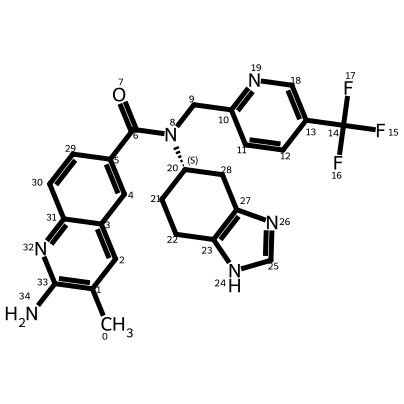 Cc1cc2cc(C(=O)N(Cc3ccc(C(F)(F)F)cn3)[C@H]3CCc4[nH]cnc4C3)ccc2nc1N